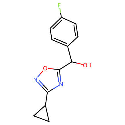 OC(c1ccc(F)cc1)c1nc(C2CC2)no1